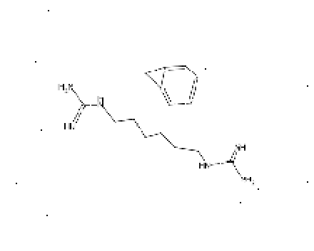 N=C(N)NCCCCCCNC(=N)N.c1ccc2c(c1)C2